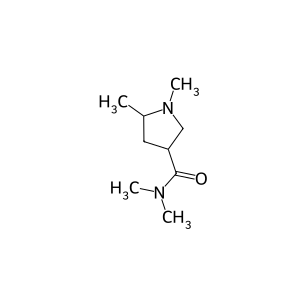 CC1CC(C(=O)N(C)C)CN1C